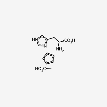 CC(=O)O.N[C@@H](Cc1c[nH]cn1)C(=O)O.c1ccsc1